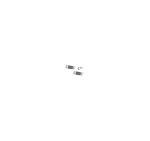 [C+4].[C-]#[C-].[C-]#[C-]